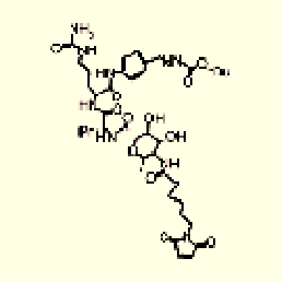 CC1O[C@H](C(=O)N[C@@H](C(=O)NC(CCCNC(N)=O)C(=O)Nc2ccc(CCNC(=O)OC(C)(C)C)cc2)C(C)C)C(O)[C@H](O)C1NC(=O)CCCCCN1C(=O)C=CC1=O